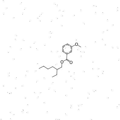 CCCCC(CC)COC(=O)c1cccc(OC)c1